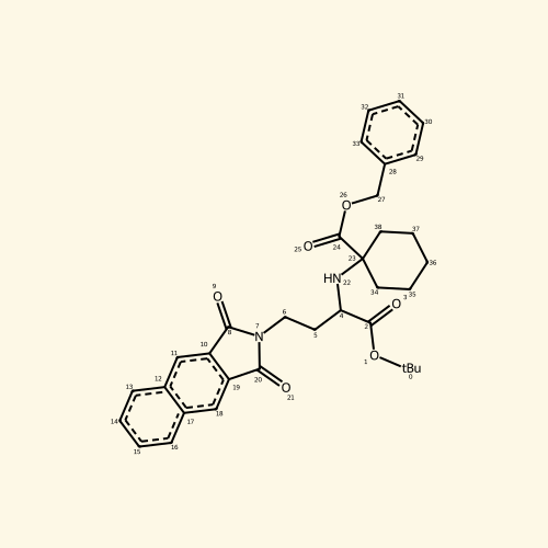 CC(C)(C)OC(=O)C(CCN1C(=O)c2cc3ccccc3cc2C1=O)NC1(C(=O)OCc2ccccc2)CCCCC1